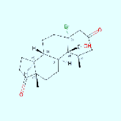 C[C@@H]1CC(=O)C[C@]2(Br)CC[C@@H]3[C@H](CC[C@]4(C)C(=O)CC[C@@H]34)[C@@]12CO